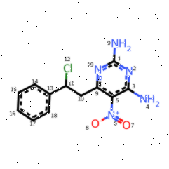 Nc1nc(N)c([N+](=O)[O-])c(CC(Cl)c2ccccc2)n1